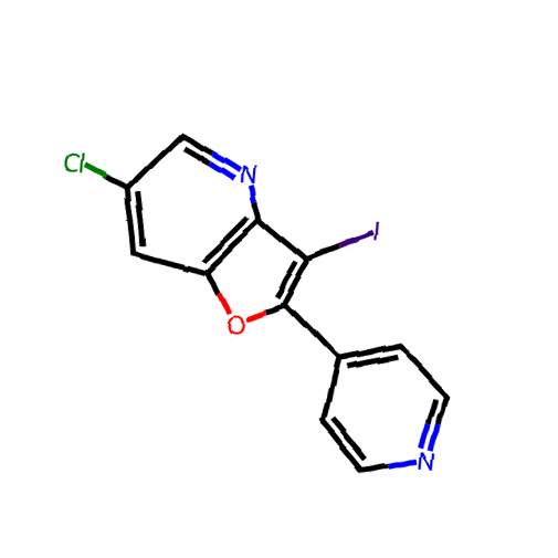 Clc1cnc2c(I)c(-c3ccncc3)oc2c1